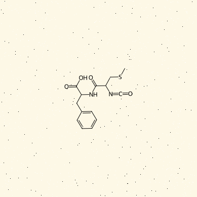 CSCC(N=C=O)C(=O)NC(Cc1ccccc1)C(=O)O